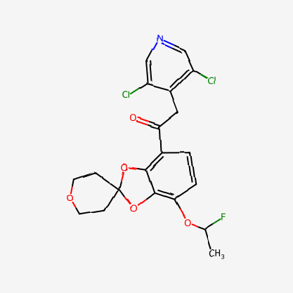 CC(F)Oc1ccc(C(=O)Cc2c(Cl)cncc2Cl)c2c1OC1(CCOCC1)O2